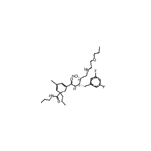 CCCNC(=O)C1(CCC)C=C(C)C=C(C(=O)N[C@@H](Cc2cc(F)cc(F)c2)[C@H](O)CNCCOCCC)C1